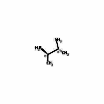 B[C@H](C)[C@@H](C)N